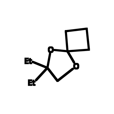 CCC1(CC)COC2(CCC2)O1